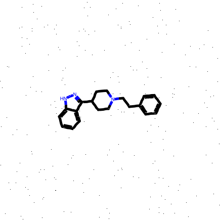 c1ccc(CCN2CCC(c3n[nH]c4ccccc34)CC2)cc1